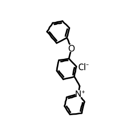 [Cl-].c1ccc(Oc2cccc(C[n+]3ccccc3)c2)cc1